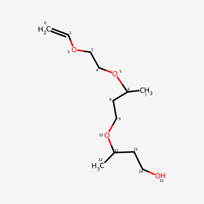 C=COCCOC(C)CCOC(C)CCO